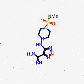 CNS(=O)(=O)N1CCN(Nc2nonc2C(=N)N)CC1